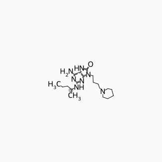 CCC[C@H](C)Nc1nc(N)c2[nH]c(=O)n(CCCCN3CCCCC3)c2n1